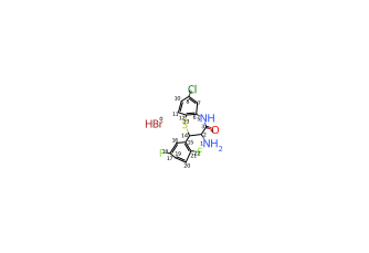 Br.NC1C(=O)Nc2cc(Cl)ccc2SC1c1cc(F)ccc1F